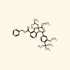 COC(=O)C1(CC(C)C)Cc2c(C(=O)OCc3ccccc3)cccc2N1C(=O)c1ccc(C(C)(C)C)c(OC)c1